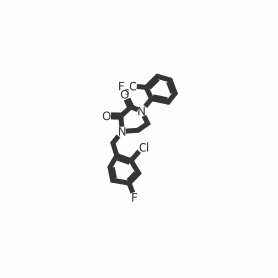 O=C1C(=O)N(c2ccccc2C(F)(F)F)CCN1Cc1ccc(F)cc1Cl